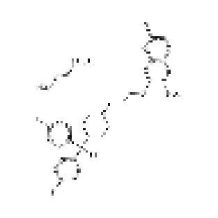 COc1cc2ccc(=O)oc2cc1OCCCN1CCC(C(O)(c2ccc(F)cc2)c2ccc(F)cc2)CC1.O=C(O)/C=C/C(=O)O